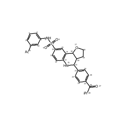 CC(=O)c1cccc(NS(=O)(=O)c2ccc3c(c2)C2OCCC2C(c2ccc(C(=O)C(C)C)cc2)N3)c1